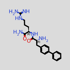 N=C(N)NCCC[C@@H](NC(=O)[C@H](N)Cc1ccc(-c2ccccc2)cc1)C(N)=O